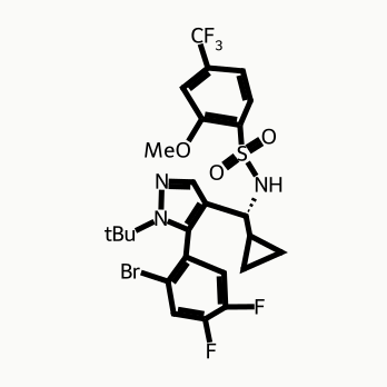 COc1cc(C(F)(F)F)ccc1S(=O)(=O)N[C@@H](c1cnn(C(C)(C)C)c1-c1cc(F)c(F)cc1Br)C1CC1